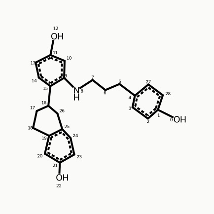 Oc1ccc(CCCNc2cc(O)ccc2C2CCc3cc(O)ccc3C2)cc1